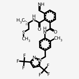 CSC[C@H](C)NC(=O)c1c(C=N)cccc1C(=O)Nc1ccc(Cn2nc(C(F)(F)F)cc2C(F)(F)F)cc1C